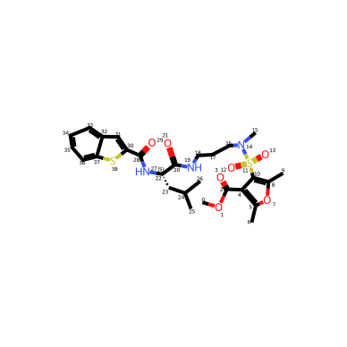 COC(=O)c1c(C)oc(C)c1S(=O)(=O)N(C)CCCNC(=O)[C@H](CC(C)C)NC(=O)c1cc2ccccc2s1